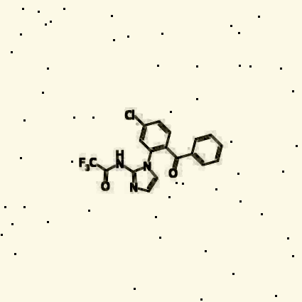 O=C(c1ccccc1)c1ccc(Cl)cc1-n1ccnc1NC(=O)C(F)(F)F